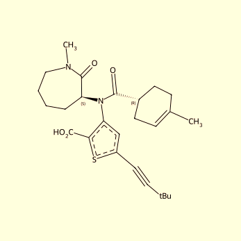 CC1=CC[C@H](C(=O)N(c2cc(C#CC(C)(C)C)sc2C(=O)O)[C@H]2CCCCN(C)C2=O)CC1